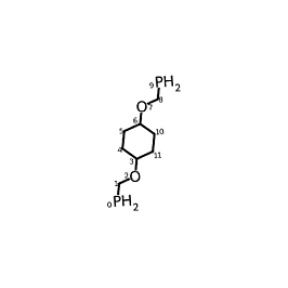 PCOC1CCC(OCP)CC1